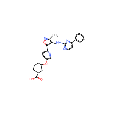 Cc1noc(-c2ccc(OC3CCC[C@H](C(=O)O)C3)cn2)c1CNc1nccc(-c2ccccc2)n1